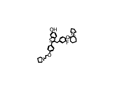 Oc1ccc2c(Cc3ccc(O[C@H]4CCCC[C@@H]4N4CCCC4)c(F)c3)c(-c3ccc(OCCN4CCCC4)cc3)sc2c1